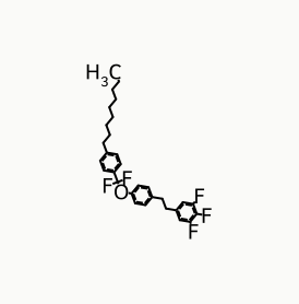 CCCCCCCCCc1ccc(C(F)(F)Oc2ccc(CCc3cc(F)c(F)c(F)c3)cc2)cc1